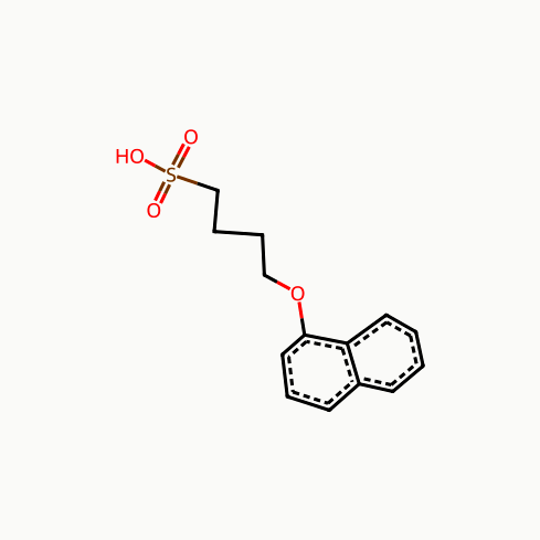 O=S(=O)(O)CCCCOc1cccc2ccccc12